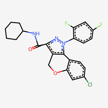 O=C(NC1CCCCC1)c1nn(-c2ccc(F)cc2F)c2c1COc1cc(Cl)ccc1-2